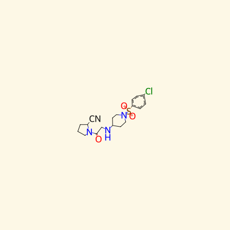 N#CC1CCCN1C(=O)CNC1CCN(S(=O)(=O)c2ccc(Cl)cc2)CC1